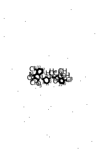 Cc1onc2c1c(=O)n(C1CCCC(NC(=O)C(C)(c3cccc(Cl)c3)N(C)C)C1)c1cccc(Cl)c21